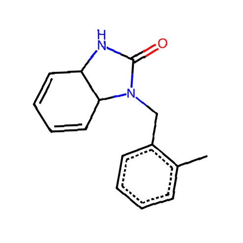 Cc1ccccc1CN1C(=O)NC2C=CC=CC21